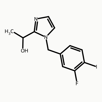 CC(O)c1nccn1Cc1ccc(I)c(F)c1